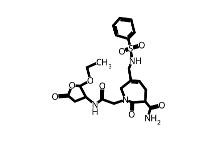 CCOC1OC(=O)CC1NC(=O)CN1CC(CNS(=O)(=O)c2ccccc2)=CCC(C(N)=O)C1=O